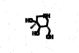 C[C@]1(O)CNC[C@H](CO)[C@H]1O